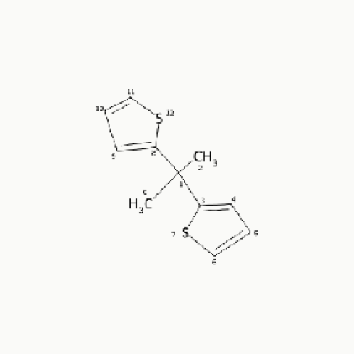 CC(C)(c1cccs1)c1cccs1